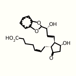 O=C(O)CCC/C=C\C[C@H]1C(=O)C[C@@H](O)[C@@H]1/C=C/[C@@H](O)C1Oc2ccccc2O1